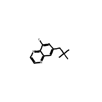 CC(C)(C)Cc1cc(F)c2nccnc2c1